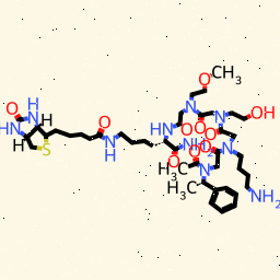 COCCN(CC(=O)N[C@@H](CCCCNC(=O)CCCCC1SC[C@@H]2NC(=O)N[C@H]12)C(N)=O)C(=O)CN(CCO)C(=O)CN(CCCCN)C(=O)CN(C(C)=O)[C@@H](C)c1ccccc1